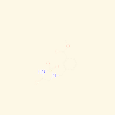 COC(=O)c1cccc(CN2CC(=O)NS2(=O)=O)c1